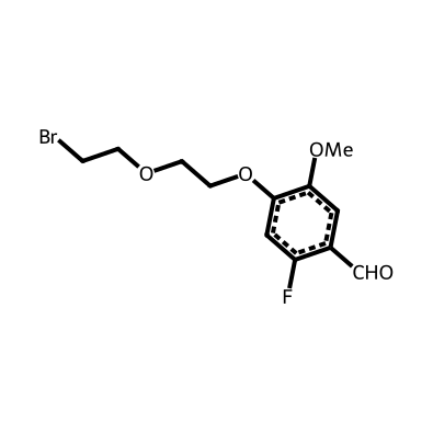 COc1cc(C=O)c(F)cc1OCCOCCBr